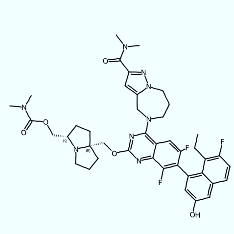 CCc1c(F)ccc2cc(O)cc(-c3c(F)cc4c(N5CCCn6nc(C(=O)N(C)C)cc6C5)nc(OC[C@]56CCCN5[C@H](COC(=O)N(C)C)CC6)nc4c3F)c12